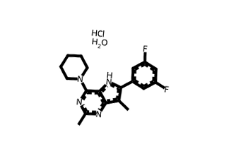 Cc1nc(N2CCCCC2)c2[nH]c(-c3cc(F)cc(F)c3)c(C)c2n1.Cl.O